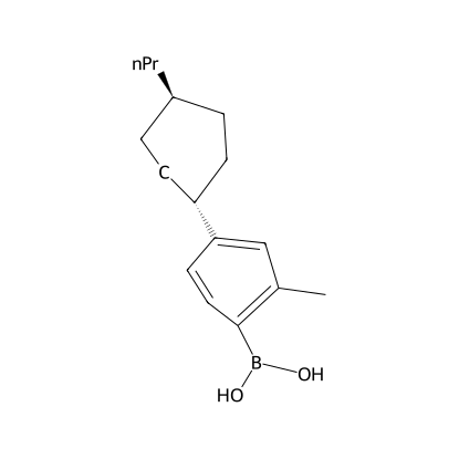 CCC[C@H]1CC[C@H](c2ccc(B(O)O)c(C)c2)CC1